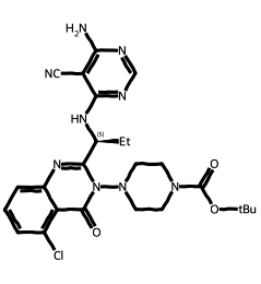 CC[C@H](Nc1ncnc(N)c1C#N)c1nc2cccc(Cl)c2c(=O)n1N1CCN(C(=O)OC(C)(C)C)CC1